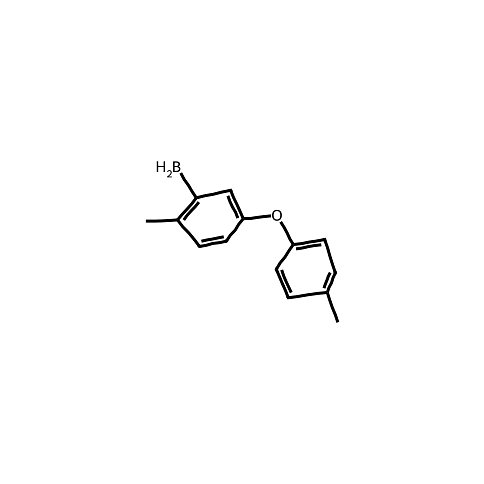 Bc1cc(Oc2ccc(C)cc2)ccc1C